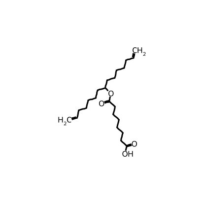 C=CCCCCCC(CCCCCC=C)OC(=O)CCCCCCC(=O)O